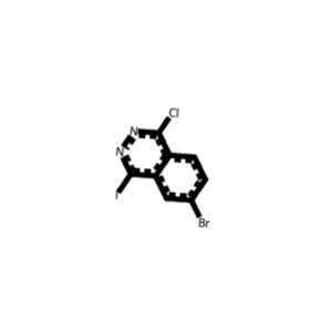 Clc1nnc(I)c2cc(Br)ccc12